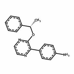 C[C@H](Oc1nccnc1-c1ccc(N)cc1)c1ccccc1